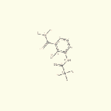 CN(C)C(=O)c1cccc(NC(=O)C(C)(C)C)c1Cl